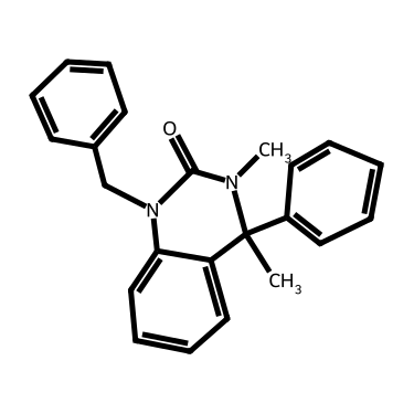 CN1C(=O)N(Cc2ccccc2)c2ccccc2C1(C)c1ccccc1